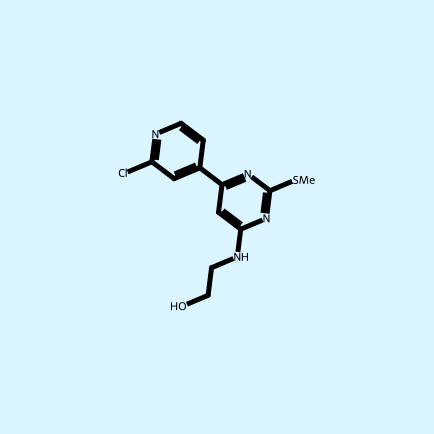 CSc1nc(NCCO)cc(-c2ccnc(Cl)c2)n1